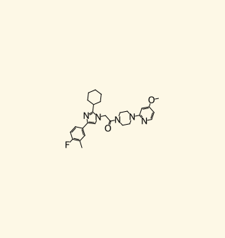 COc1ccnc(N2CCN(C(=O)Cn3cc(-c4ccc(F)c(C)c4)nc3C3CCCCC3)CC2)c1